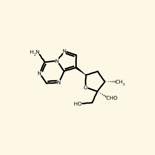 C[C@H]1C[C@H](c2cnn3c(N)ncnc23)O[C@]1(C=O)CO